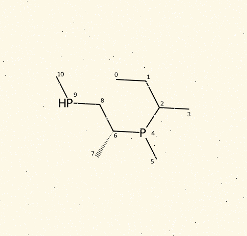 CCC(C)P(C)[C@H](C)CPC